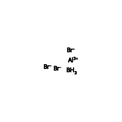 B.[Al+3].[Br-].[Br-].[Br-]